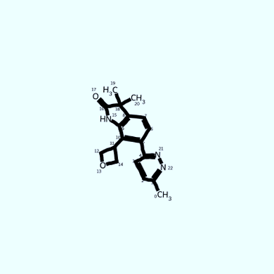 Cc1ccc(-c2ccc3c(c2C2COC2)NC(=O)C3(C)C)nn1